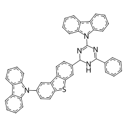 c1ccc(C2=NC(n3c4ccccc4c4ccccc43)=NC(c3ccc4c(c3)sc3ccc(-n5c6ccccc6c6ccccc65)cc34)N2)cc1